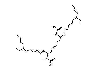 CCCCC(CC)CCCCCSC(CCOCCC(SCCCCCC(CC)CCCC)C(C)C(=O)O)C(C)C(=O)O